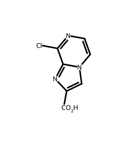 O=C(O)c1cn2ccnc(Cl)c2n1